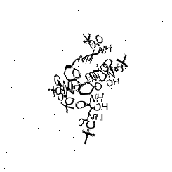 CN(C(=O)OC(C)(C)C)[C@@H]1[C@@H](O)[C@@H](O[C@@H]2[C@@H](O)[C@H](C3OC(CNCC(C)(C)CNC(=O)OC(C)(C)C)=CC[C@H]3NC(=O)OC(C)(C)C)[C@@H](NC(=O)OC(C)(C)C)C[C@H]2NC(=O)[C@@H](O)CNC(=O)OC(C)(C)C)OC[C@]1(C)O